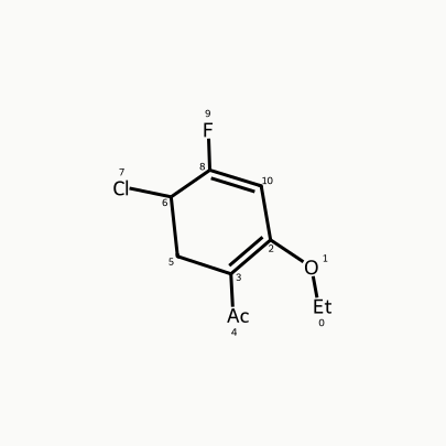 CCOC1=C(C(C)=O)CC(Cl)C(F)=C1